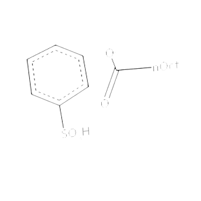 CCCCCCCCC([O])=O.O=S(=O)(O)c1ccccc1